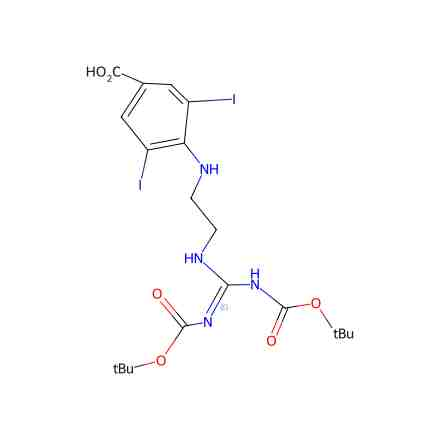 CC(C)(C)OC(=O)/N=C(\NCCNc1c(I)cc(C(=O)O)cc1I)NC(=O)OC(C)(C)C